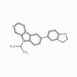 CC(C)n1c2ccc(-c3ccc4c(c3)CCO4)cc2c2ccncc21